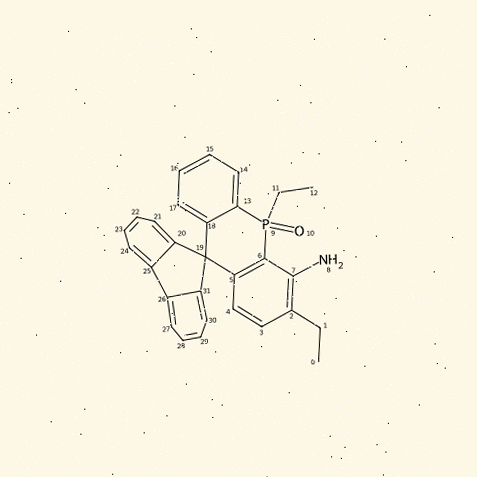 CCc1ccc2c(c1N)P(=O)(CC)c1ccccc1C21c2ccccc2-c2ccccc21